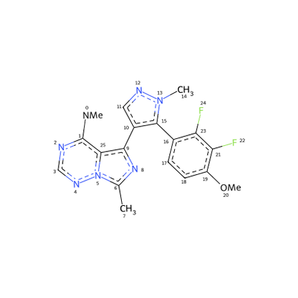 CNc1ncnn2c(C)nc(-c3cnn(C)c3-c3ccc(OC)c(F)c3F)c12